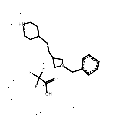 O=C(O)C(F)(F)F.c1ccc(CN2CC(CCC3CCNCC3)C2)cc1